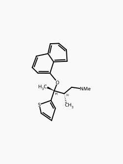 CNC[C@H](C)[C@@](C)(Oc1cccc2ccccc12)c1cccs1